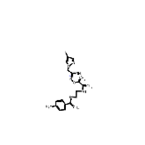 C=C(NCCNC(=C)c1ccc(C)cc1)C(=C)O/N=C(\N)Cn1cc(I)cn1